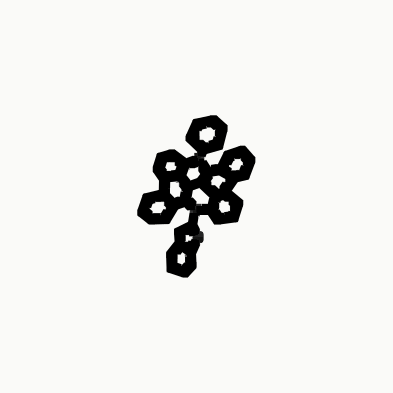 c1ccc(-n2c3cccc4c5ccccc5c5c(c43)-c3c4c(cccc4n5-c4cc5ccccc5o4)c4ccccc4c32)cc1